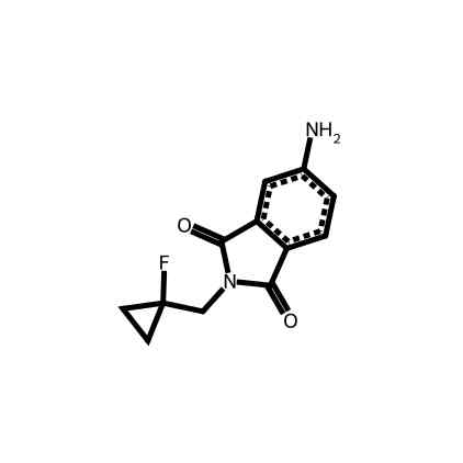 Nc1ccc2c(c1)C(=O)N(CC1(F)CC1)C2=O